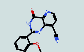 CCOc1ccccc1-c1nc2c(C#N)ccnc2c(=O)[nH]1